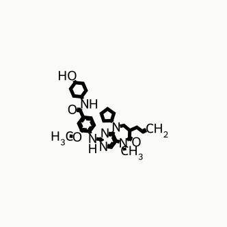 C=CCC1CN(C2CCCC2)c2nc(Nc3ccc(C(=O)NC4CCC(O)CC4)cc3OC)ncc2N(C)C1=O